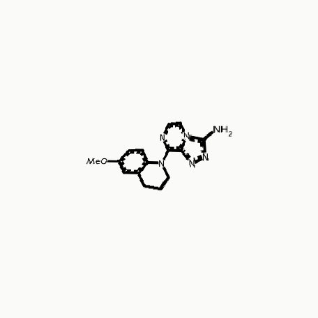 COc1ccc2c(c1)CCCN2c1nccn2c(N)nnc12